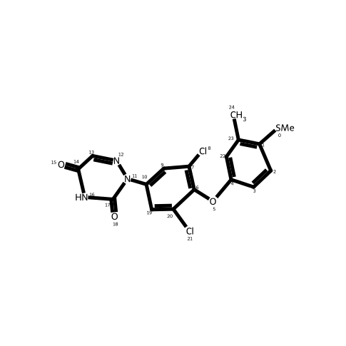 CSc1ccc(Oc2c(Cl)cc(-n3ncc(=O)[nH]c3=O)cc2Cl)cc1C